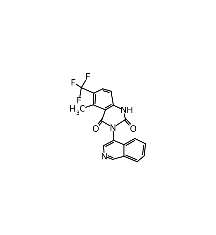 Cc1c(C(F)(F)F)ccc2[nH]c(=O)n(-c3cncc4ccccc34)c(=O)c12